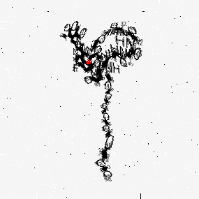 CC[C@@H]1C(=O)OCc2c1cc1n(c2=O)Cc2c-1nc1cc(F)c3c(c1c2CNC(=O)COCNC(=O)[C@H](C)NC(=O)[C@H](C)NC(=O)[C@H](C)NC(=O)CC[C@H](NC(=O)CCCCCN1C(=O)C=CC1=O)C(=O)NCCOCCOCCOCCOCCOCCOCCOCCOC)CCC3